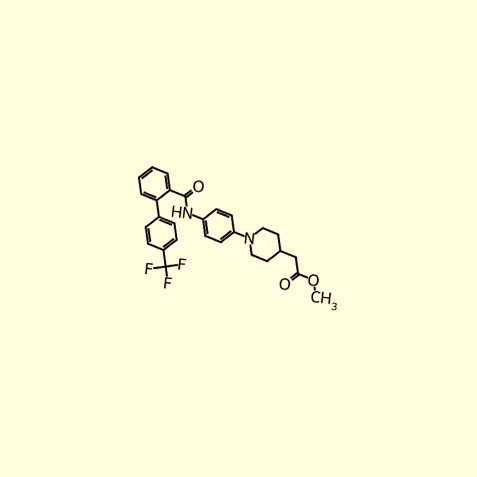 COC(=O)CC1CCN(c2ccc(NC(=O)c3ccccc3-c3ccc(C(F)(F)F)cc3)cc2)CC1